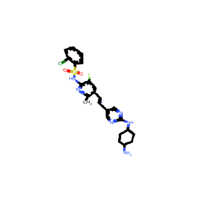 Cc1nc(NS(=O)(=O)c2ccccc2Cl)c(F)cc1/C=C/c1cnc(NC2CCC(N)CC2)nc1